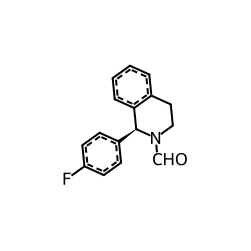 O=CN1CCc2ccccc2[C@@H]1c1ccc(F)cc1